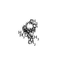 C=CC(=O)N1C[C@H](C)N(c2nc(=O)n3c4nc(c(F)cc24)-c2c(F)cccc2CN(C)CCCc2ccnc(C(C)C)c2-3)C[C@H]1C